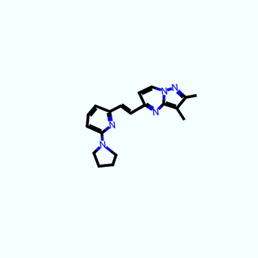 Cc1nn2ccc(C=Cc3cccc(N4CCCC4)n3)nc2c1C